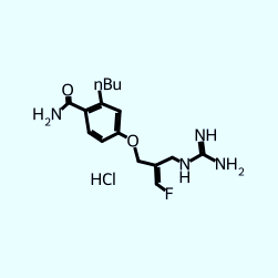 CCCCc1cc(OC/C(=C/F)CNC(=N)N)ccc1C(N)=O.Cl